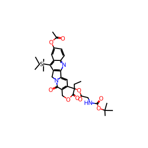 CCC1(OC(=O)CNC(=O)OC(C)(C)C)C(=O)OCc2c1cc1n(c2=O)Cc2c-1nc1ccc(OC(C)=O)cc1c2[Si](C)(C)C(C)C